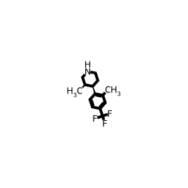 Cc1cc(C(F)(F)F)ccc1[C@@H]1CCNC[C@@H]1C